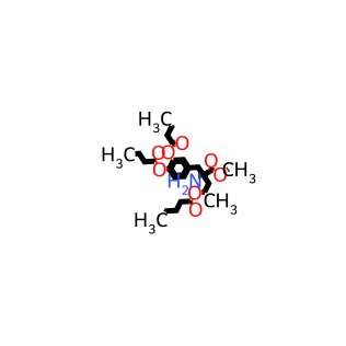 CCCCC(=O)OC(C)C[C@@](N)(Cc1ccc(OC(=O)CCC)c(OC(=O)CCC)c1)C(=O)OC